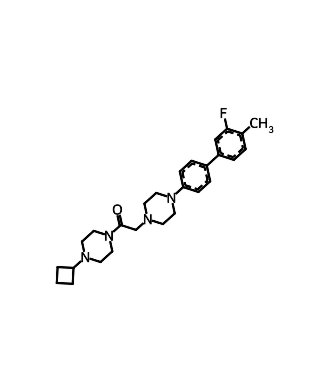 Cc1ccc(-c2ccc(N3CCN(CC(=O)N4CCN(C5CCC5)CC4)CC3)cc2)cc1F